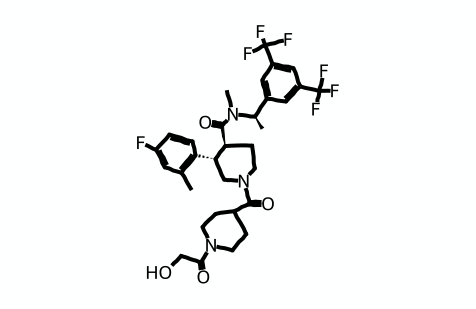 Cc1cc(F)ccc1[C@H]1CN(C(=O)C2CCN(C(=O)CO)CC2)CC[C@@H]1C(=O)N(C)[C@H](C)c1cc(C(F)(F)F)cc(C(F)(F)F)c1